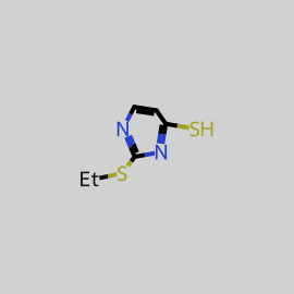 CCSc1nccc(S)n1